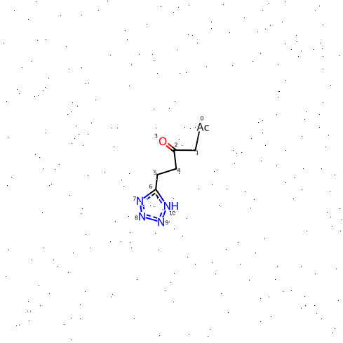 CC(=O)CC(=O)CCc1nnn[nH]1